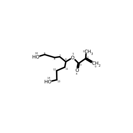 C=C(C)C(=O)OC(CCCO)CCCO